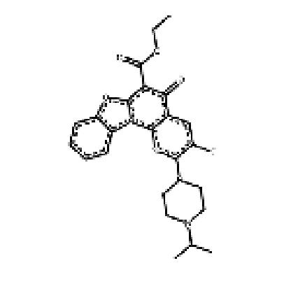 CCOC(=O)c1c(=O)c2cc(F)c(N3CCN(C(C)C)CC3)nc2n2c1oc1ccccc12